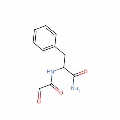 NC(=O)C(Cc1ccccc1)NC(=O)C=O